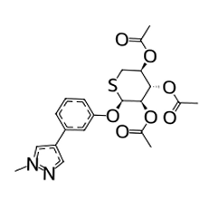 CC(=O)O[C@@H]1[C@@H](OC(C)=O)[C@@H](Oc2cccc(-c3cnn(C)c3)c2)SC[C@H]1OC(C)=O